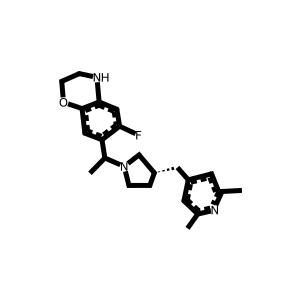 Cc1cc(C[C@@H]2CCN(C(C)c3cc4c(cc3F)NCCO4)C2)cc(C)n1